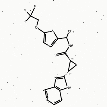 CC(NC(=O)[C@H]1C[C@@H]1c1nc2cnccc2[nH]1)c1ccc(OCC(F)(F)F)s1